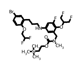 CN(Cc1cc(NCCCc2cc(Br)ccc2OCC(F)F)cc(F)c1OC(CF)CF)C(=O)OCC[Si](C)(C)C